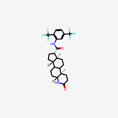 C[C@]12CCC3C(CC[C@H]4NC(=O)CC[C@]34C)[C@@H]1CC[C@@H]2C(=O)Nc1cc(C(F)(F)F)ccc1C(F)(F)F